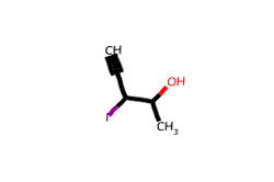 C#CC(I)C(C)O